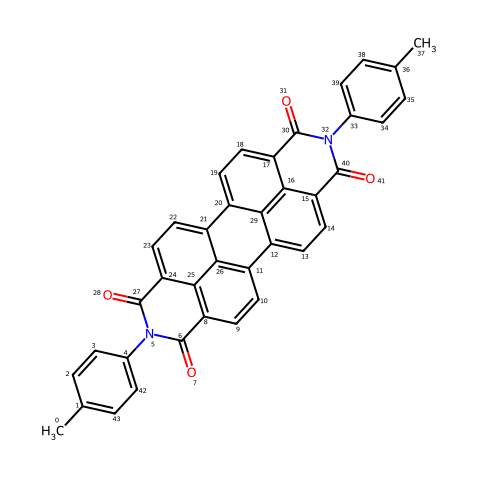 Cc1ccc(N2C(=O)c3ccc4c5ccc6c7c(ccc(c8ccc(c3c48)C2=O)c75)C(=O)N(c2ccc(C)cc2)C6=O)cc1